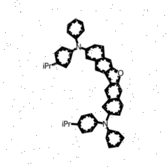 CC(C)c1ccc(N(c2ccccc2)c2ccc3cc4oc5cc6ccc(N(c7ccccc7)c7ccc(C(C)C)cc7)cc6cc5c4cc3c2)cc1